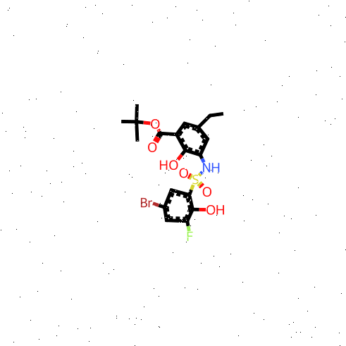 CCc1cc(NS(=O)(=O)c2cc(Br)cc(F)c2O)c(O)c(C(=O)OC(C)(C)C)c1